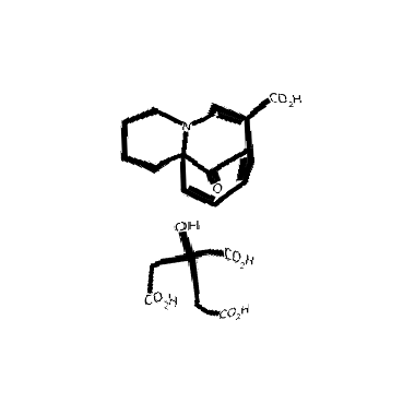 O=C(O)C1=CN2CCCCC23C=CC=C1C3=O.O=C(O)CC(O)(CC(=O)O)C(=O)O